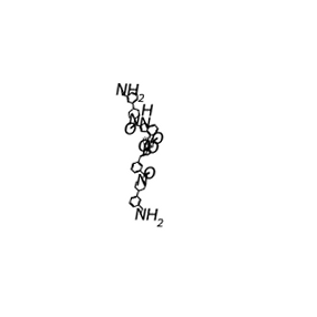 C[C@@]1(c2cccc3[nH]c(C(=O)N4CCC(c5cccc(CN)c5)CC4)cc23)OB(C=Cc2cccc(C(=O)N3CCC(c4cccc(CN)c4)CC3)c2)OC1=O